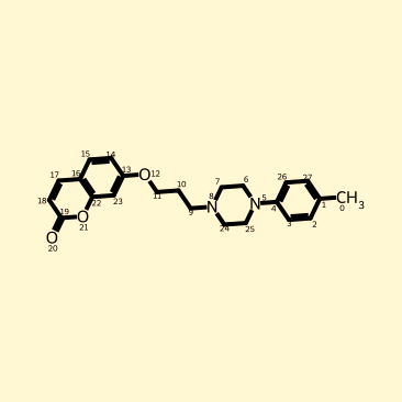 Cc1ccc(N2CCN(CCCOc3ccc4ccc(=O)oc4c3)CC2)cc1